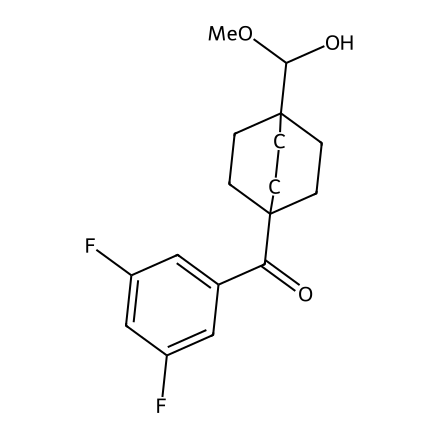 COC(O)C12CCC(C(=O)c3cc(F)cc(F)c3)(CC1)CC2